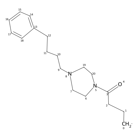 [CH2]CCC(=O)N1CCN(CCCCc2ccccc2)CC1